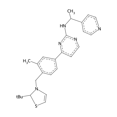 Cc1cc(-c2ccnc(NC(C)c3ccncc3)n2)ccc1CN1C=CSC1C(C)(C)C